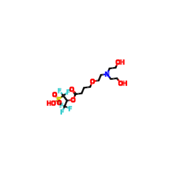 O=C(CCCOCCN(CCO)CCO)OC(C(F)(F)F)C(F)(F)S(=O)(=O)O